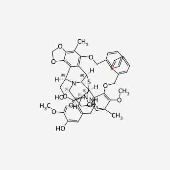 COc1cc2c(cc1O)CCN[C@]21CS[C@@H]2c3c(OCc4ccccc4)c(C)c4c(c3[C@H](COC1=O)N1C2[C@H]2c3c(cc(C)c(OC)c3OCc3ccccc3)C[C@@H]([C@@H]1O)N2C)OCO4